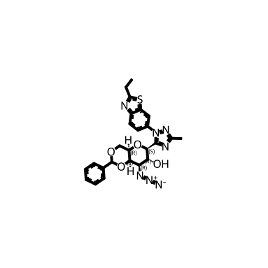 CCc1nc2ccc(-n3nc(C)nc3[C@@H]3O[C@@H]4COC(c5ccccc5)O[C@@H]4[C@H](N=[N+]=[N-])[C@H]3O)cc2s1